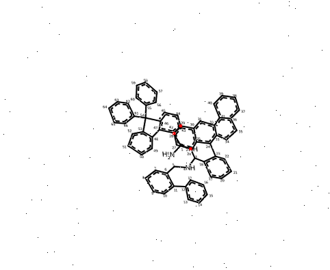 NC(NC(NCc1ccccc1-c1ccccc1)c1ccccc1-c1c2ccccc2cc2c1ccc1ccccc12)c1cccc2c1-c1ccccc1C2(c1ccccc1)c1ccccc1